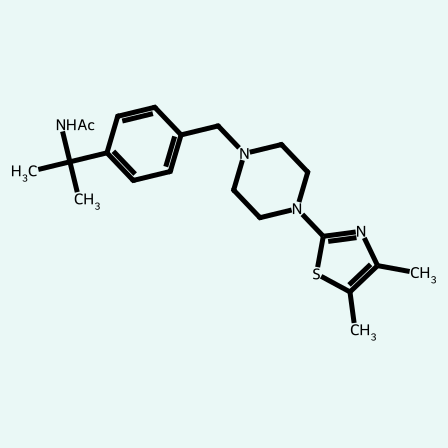 CC(=O)NC(C)(C)c1ccc(CN2CCN(c3nc(C)c(C)s3)CC2)cc1